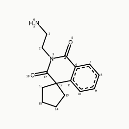 NCCN1C(=O)c2ccccc2C2(CCCC2)C1=O